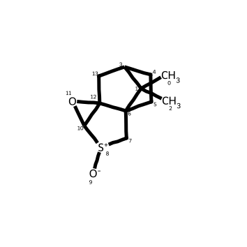 CC1(C)C2CCC13C[S+]([O-])C1OC13C2